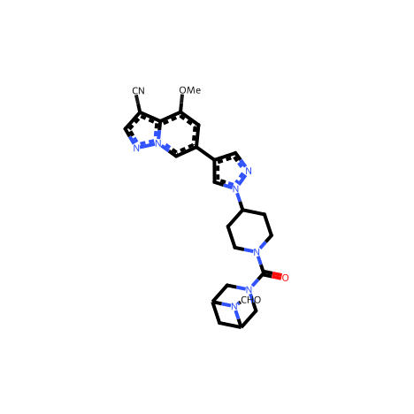 COc1cc(-c2cnn(C3CCN(C(=O)N4CC5CC(C4)N5C=O)CC3)c2)cn2ncc(C#N)c12